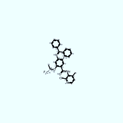 Cc1ccnc(Cl)c1NC(=O)c1cc(F)c(N=C(c2ccccc2)c2ccccc2)cc1O[C@@H](C)C(F)(F)F